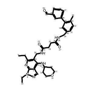 CCc1nc2c(cnn2CC)c(NC2CCOCC2)c1CNC(=O)CCC(=O)NCc1ccc(C)c(-c2cccc(C=O)c2)c1